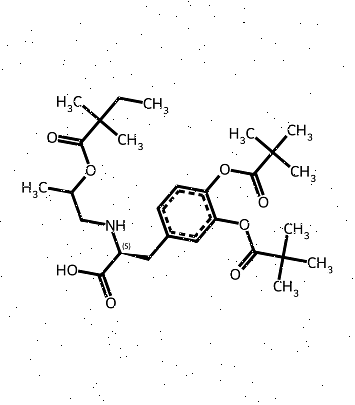 CCC(C)(C)C(=O)OC(C)CN[C@@H](Cc1ccc(OC(=O)C(C)(C)C)c(OC(=O)C(C)(C)C)c1)C(=O)O